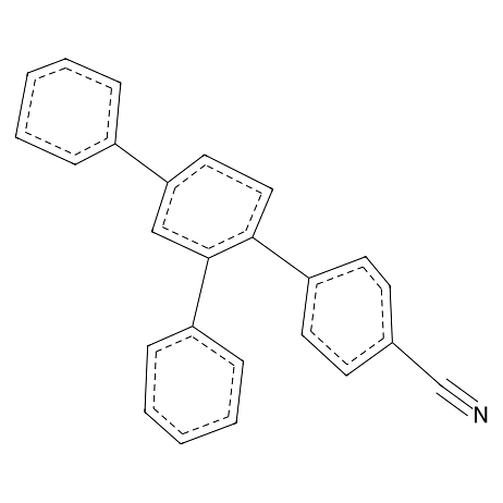 N#Cc1ccc(-c2ccc(-c3ccccc3)cc2-c2ccccc2)cc1